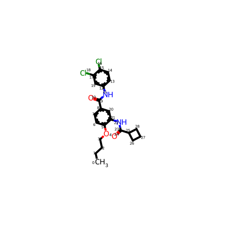 CCCCOc1ccc(C(=O)Nc2ccc(Cl)c(Cl)c2)cc1NC(=O)C1CCC1